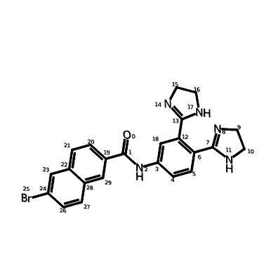 O=C(Nc1ccc(C2=NCCN2)c(C2=NCCN2)c1)c1ccc2cc(Br)ccc2c1